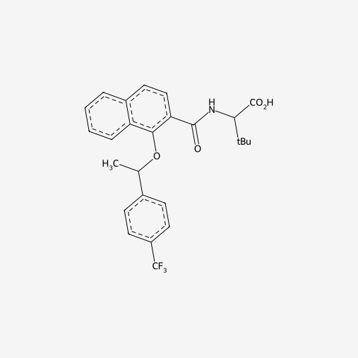 CC(Oc1c(C(=O)NC(C(=O)O)C(C)(C)C)ccc2ccccc12)c1ccc(C(F)(F)F)cc1